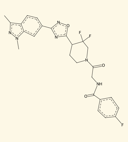 Cc1nn(C)c2cc(-c3noc(C4CCN(C(=O)CNC(=O)c5ccc(F)cc5)CC4(F)F)n3)ccc12